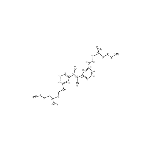 CC(C)CCCC(C)CCOc1cccc(C(Br)=C(Br)c2cccc(OCCC(C)CCCC(C)C)c2)c1